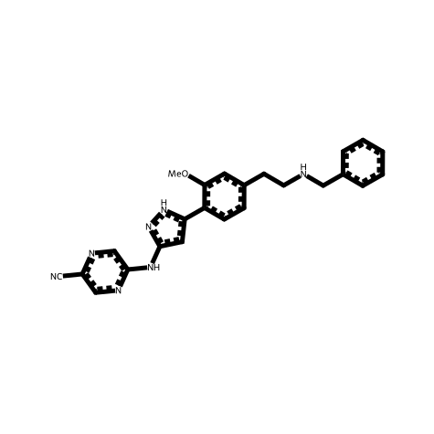 COc1cc(CCNCc2ccccc2)ccc1-c1cc(Nc2cnc(C#N)cn2)n[nH]1